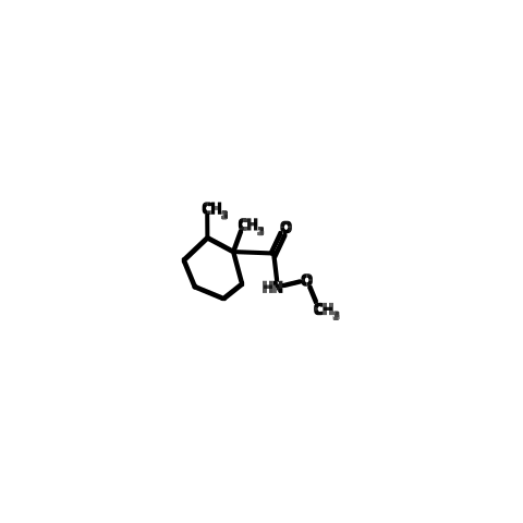 CONC(=O)C1(C)CCCCC1C